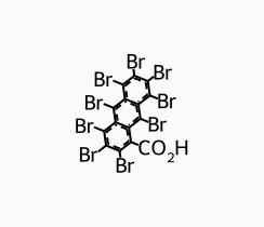 O=C(O)c1c(Br)c(Br)c(Br)c2c(Br)c3c(Br)c(Br)c(Br)c(Br)c3c(Br)c12